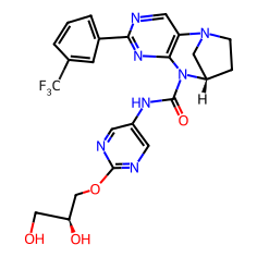 O=C(Nc1cnc(OC[C@@H](O)CO)nc1)N1c2nc(-c3cccc(C(F)(F)F)c3)ncc2N2CC[C@H]1C2